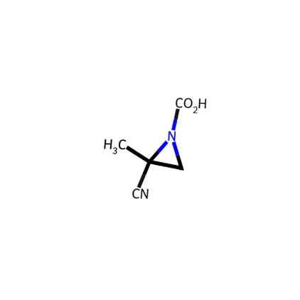 CC1(C#N)CN1C(=O)O